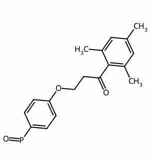 Cc1cc(C)c(C(=O)CCOc2ccc(P=O)cc2)c(C)c1